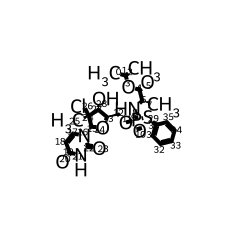 CC(C)OC(=O)[C@H](C)NP(=O)(OC[C@H]1O[C@@H](n2ccc(=O)[nH]c2=O)[C@](C)(Cl)[C@@H]1O)Sc1ccccc1